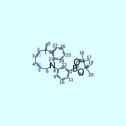 C=C1/C=C\C=C/CN(c2cccc(B3OC(C)(C)C(C)(C)O3)c2)c2ccccc21